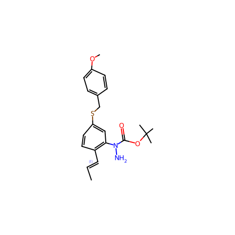 C/C=C/c1ccc(SCc2ccc(OC)cc2)cc1N(N)C(=O)OC(C)(C)C